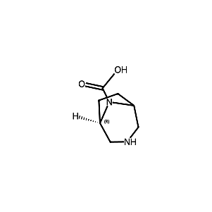 O=C(O)N1C2CC[C@@H]1CNC2